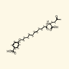 CC(=O)CC[C@H](NC(=O)CCCCCCCCCCOc1ccc(C(=O)O)cc1)C(=O)O